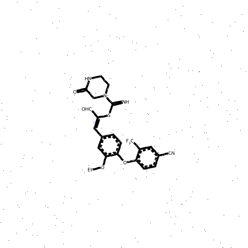 CCOc1cc(/C=C(/C=O)SC(=N)N2CCNC(=O)C2)ccc1Oc1ccc(C#N)cc1C(F)(F)F